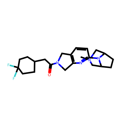 CN1CC2CCC(C1)N2c1ccc2c(n1)CN(C(=O)CC1CCC(F)(F)CC1)C2